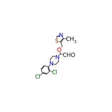 Cc1ncsc1COC(C=O)N1CCN(c2ccc(Cl)cc2Cl)CC1